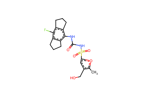 Cc1oc(S(=O)(=O)NC(=O)Nc2c3c(c(F)c4c2CCC4)CCC3)cc1CO